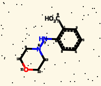 O=C(O)c1ccccc1NN1CCOCC1